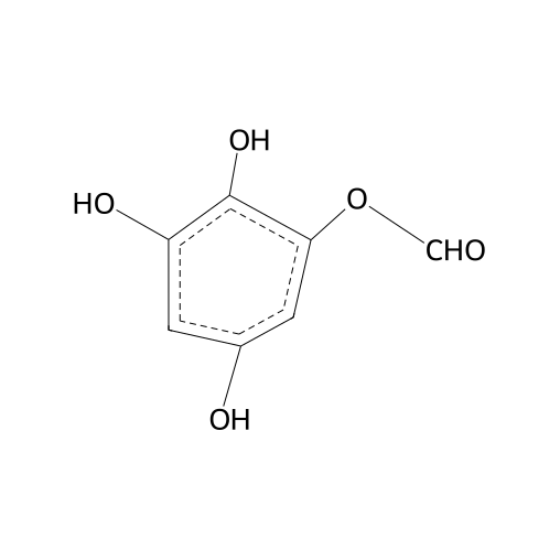 O=COc1cc(O)cc(O)c1O